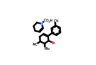 CC(C)(C)C1C(C#N)CC=C(c2cccc(C#N)c2)C1Br.O=C(O)N1C=CCCC1